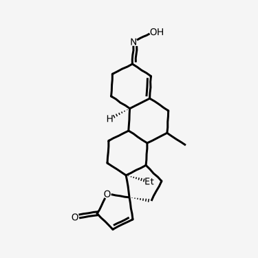 CC[C@]12CCC3C(C(C)CC4=CC(=NO)CC[C@@H]43)C1CC[C@@]21C=CC(=O)O1